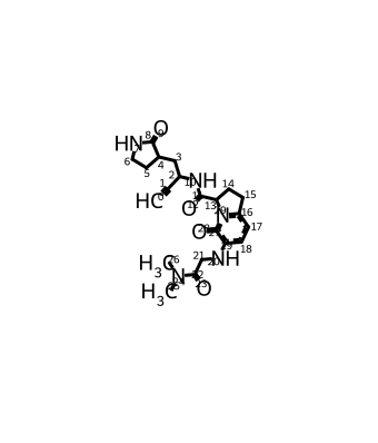 C#CC(CC1CCNC1=O)NC(=O)C1CCc2ccc(NCC(=O)N(C)C)c(=O)n21